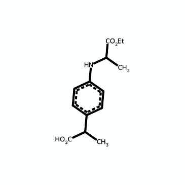 CCOC(=O)C(C)Nc1ccc(C(C)C(=O)O)cc1